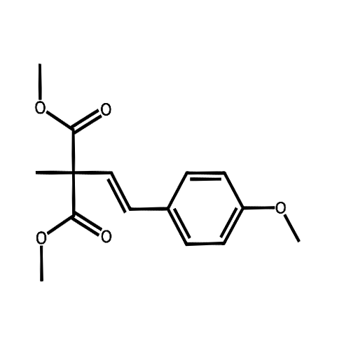 COC(=O)C(C)(C=Cc1ccc(OC)cc1)C(=O)OC